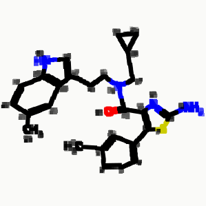 Cc1cccc(-c2sc(N)nc2C(=O)N(CCc2c[nH]c3ccc(C)cc23)CC2CC2)c1